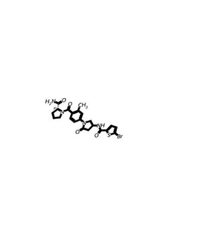 Cc1cc(N2CC(NC(=O)c3ccc(Br)s3)CC2=O)ccc1C(=O)N1CCC[C@@H]1C(N)=O